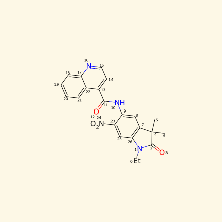 CCN1C(=O)C(C)(C)c2cc(NC(=O)c3ccnc4ccccc34)c([N+](=O)[O-])cc21